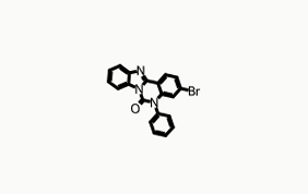 O=c1n(-c2ccccc2)c2cc(Br)ccc2c2nc3ccccc3n12